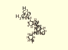 CC(C)C(=O)NCc1cccc2c1cnn2-c1nc2c(c(NCc3cccc(F)c3)n1)COCC2